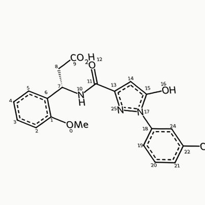 COc1ccccc1[C@H](CC(=O)O)NC(=O)c1cc(O)n(-c2cccc(Cl)c2)n1